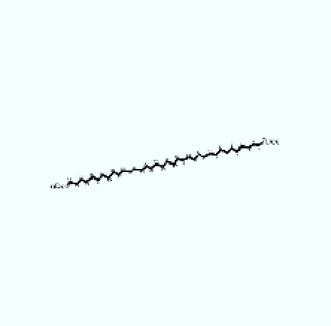 [CH2]CCCCCCCCCCCCCCCCCCCCCCCCCCCCCCCCCCCCCCCCCCCCCCCCCCCCCCC